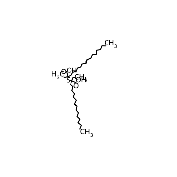 CCCCCCCCC=CCCCCCCC(CC)(SC(CC)(CCCCCCC=CCCCCCCCC)C(=O)O)C(=O)O